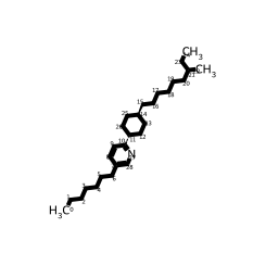 CCCCCCCc1ccc([C@H]2CC[C@H](CCCCCCC(C)CC)CC2)nc1